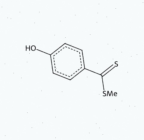 CSC(=S)c1ccc(O)cc1